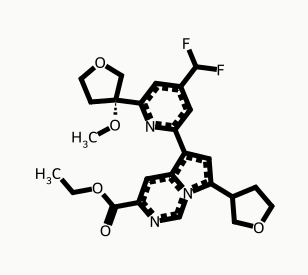 CCOC(=O)c1cc2c(-c3cc(C(F)F)cc([C@@]4(OC)CCOC4)n3)cc(C3CCOC3)n2cn1